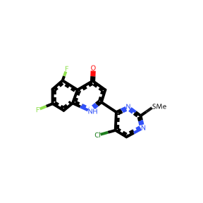 CSc1ncc(Cl)c(-c2cc(=O)c3c(F)cc(F)cc3[nH]2)n1